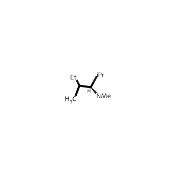 CCC(C)[C@H](NC)C(C)C